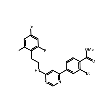 CCc1cc(-c2cc(NCCc3c(F)cc(Br)cc3F)ncn2)ccc1C(=O)OC